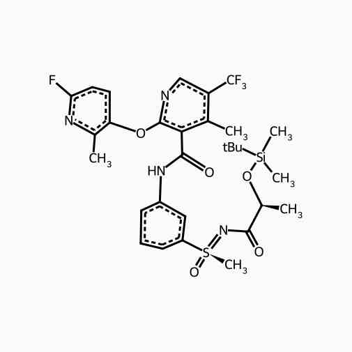 Cc1nc(F)ccc1Oc1ncc(C(F)(F)F)c(C)c1C(=O)Nc1cccc([S@@](C)(=O)=NC(=O)[C@H](C)O[Si](C)(C)C(C)(C)C)c1